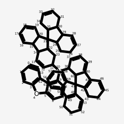 c1ccc2oc3cccc(N(C4C=CC5C6C=CC=CC6C6(C5C4)C4CCC=CC4C4CC=CCC46)C4C=CC=C5C6=C(CCC=C6)C6(C7=C(CCC=C7)c7ccccc76)C54)c3c2c#1